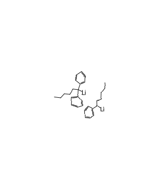 [Li][CH](CCCCC)c1ccccc1.[Li][C](CCCCC)(c1ccccc1)c1ccccc1